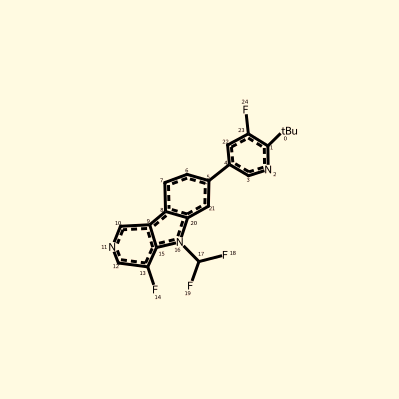 CC(C)(C)c1ncc(-c2ccc3c4cncc(F)c4n(C(F)F)c3c2)cc1F